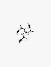 C#CC(C)C[Si](CC(C)C#C)CC(C)C#C